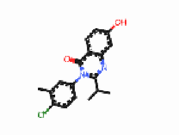 Cc1cc(-n2c(C(C)C)nc3cc(O)ccc3c2=O)ccc1Cl